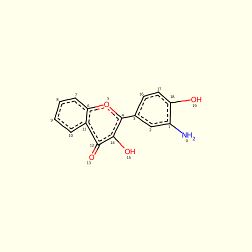 Nc1cc(-c2oc3ccccc3c(=O)c2O)ccc1O